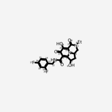 CCN1CC2CC(O)c3c(C(=O)NCc4ccc(F)cc4F)c(=O)c(O)c(n32)C1=O